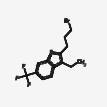 CCc1c(CCCBr)sc2cc(C(F)(F)F)ccc12